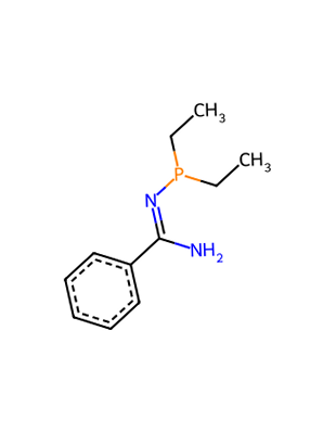 CCP(CC)N=C(N)c1ccccc1